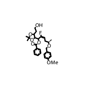 COc1ccc(CO[C@H](C)C/C=C(/F)C(OC(=O)c2ccccc2)C2OC(C)(C)OC2CCO)cc1